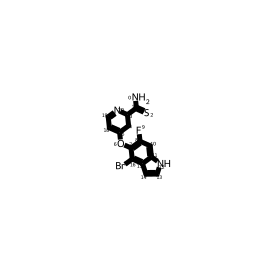 NC(=S)C1CC(Oc2c(F)cc3[nH]ccc3c2Br)=CC=N1